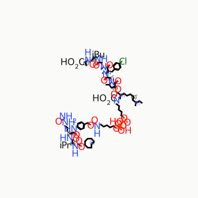 C/C=C(\C)C[C@@H](C)CC/C=C(\CN(CCCCCOP(=O)(O)OP(=O)(O)OCCCCCNC(=O)OCc1ccc(NC(=O)[C@@H](CCCNC(N)=O)NC(=O)[C@H](NC(=O)OC2CC/C=C/CCC2)C(C)C)cc1)C(=O)O)C(=O)O[C@@H]1CC(C)N([C@@H](C)C(=O)N(C)[C@H](Cc2ccc(Cl)cc2)C(=O)N(C)CC(=O)N[C@H](C(=O)N[C@H](C)C(=O)O)C(C)CC)C1=O